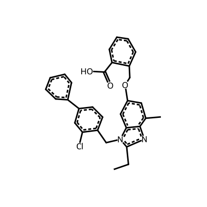 CCc1nc2c(C)cc(OCc3ccccc3C(=O)O)cc2n1Cc1ccc(-c2ccccc2)cc1Cl